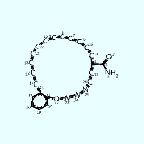 NC(=O)c1ccccccccccccc2ccccc2onnncc1